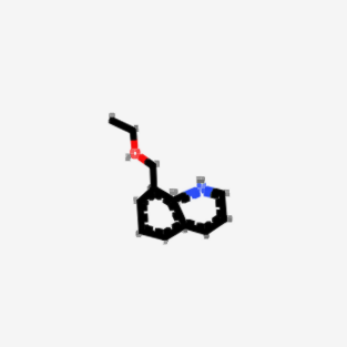 CCOCc1cccc2cccnc12